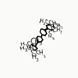 CN1C(C)(C)CC(C2CCC(C3CCC(C4CC(C)(C)N(C)C4(C)C)CC3)CC2)C1(C)C